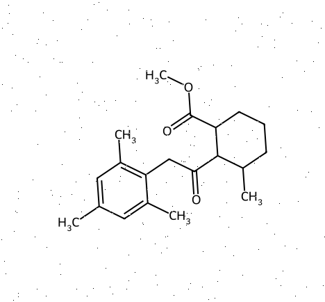 COC(=O)C1CCCC(C)C1C(=O)Cc1c(C)cc(C)cc1C